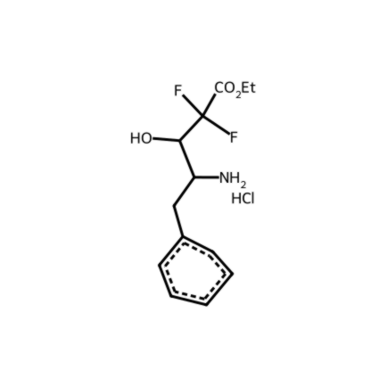 CCOC(=O)C(F)(F)C(O)C(N)Cc1ccccc1.Cl